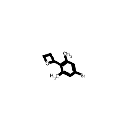 Cc1cc(Br)cc(C)c1C1CCO1